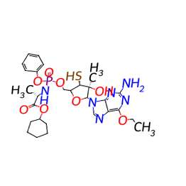 CCOc1nc(N)nc2c1ncn2[C@@H]1OC(COP(=O)(N[C@@H](C)C(=O)OC2CCCCC2)Oc2ccccc2)[C@@H](S)[C@@]1(C)O